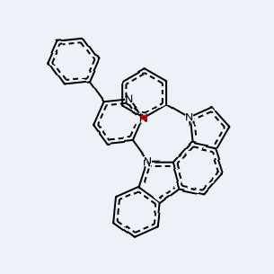 c1ccc(-c2ccc(-n3c4ccccc4c4ccc5ccn(-c6ccccc6)c5c43)nn2)cc1